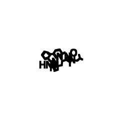 CCCCCc1c(C)n(CC(C)C)c(=O)n1Cc1ccc(-c2ccccc2-c2nnn[nH]2)cn1